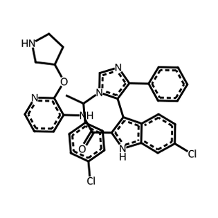 CC(c1ccc(Cl)cc1)n1cnc(-c2ccccc2)c1-c1c(C(=O)Nc2cccnc2OC2CCNC2)[nH]c2cc(Cl)ccc12